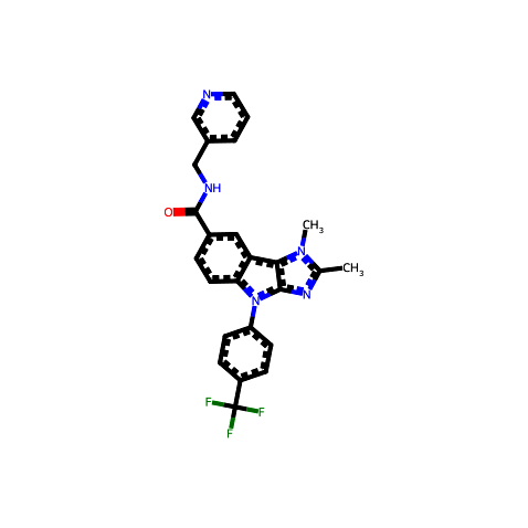 Cc1nc2c(c3cc(C(=O)NCc4cccnc4)ccc3n2-c2ccc(C(F)(F)F)cc2)n1C